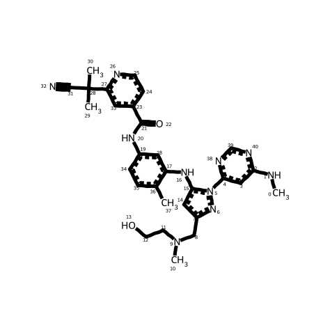 CNc1cc(-n2nc(CN(C)CCO)cc2Nc2cc(NC(=O)c3ccnc(C(C)(C)C#N)c3)ccc2C)ncn1